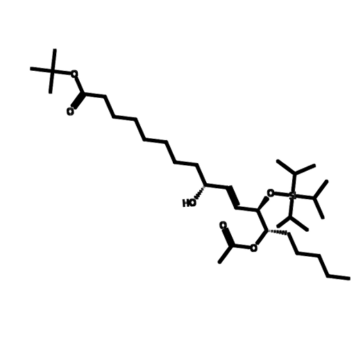 CCCCC[C@H](OC(C)=O)[C@@H](C=C[C@H](O)CCCCCCCC(=O)OC(C)(C)C)O[Si](C(C)C)(C(C)C)C(C)C